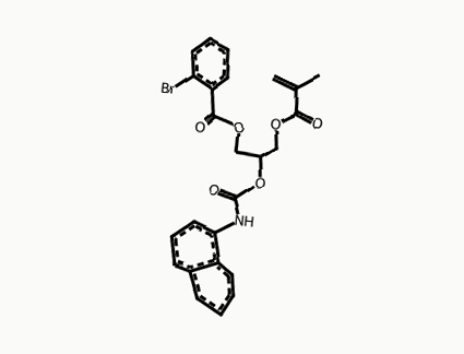 C=C(C)C(=O)OCC(COC(=O)c1ccccc1Br)OC(=O)Nc1cccc2ccccc12